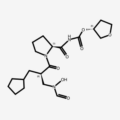 O=CN(O)C[C@@H](CC1CCCC1)C(=O)N1CCC[C@H]1C(=O)NC(=O)O[C@@H]1CCOC1